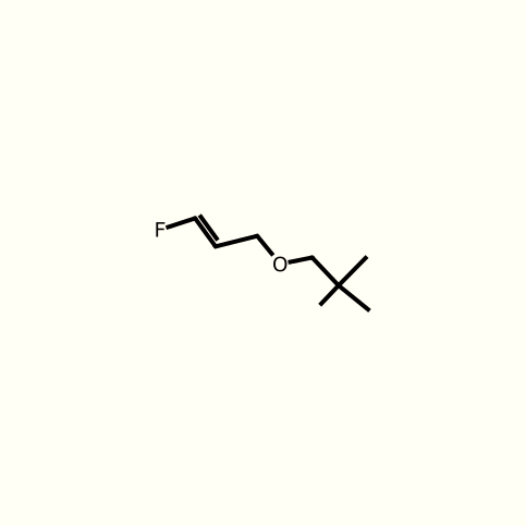 CC(C)(C)COC/C=C/F